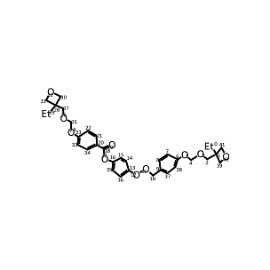 CCC1(COCOc2ccc(COOc3ccc(OC(=O)c4ccc(OCOCC5(CC)COC5)cc4)cc3)cc2)COC1